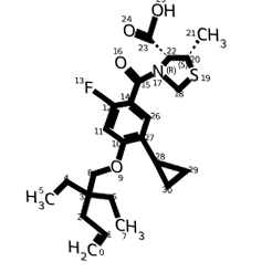 C=CCC(CC)(CC)COc1cc(F)c(C(=O)N2CS[C@@H](C)[C@H]2C(=O)O)cc1C1CC1